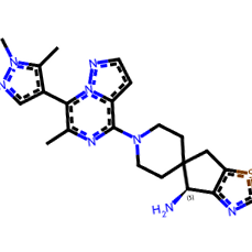 Cc1nc(N2CCC3(CC2)Cc2scnc2[C@H]3N)c2ccnn2c1-c1cnn(C)c1C